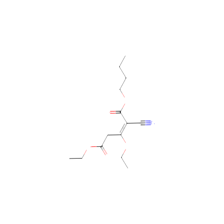 CCCCOC(=O)/C(C#N)=C(\CC(=O)OCC)OCC